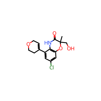 CC1(CO)Oc2cc(Cl)cc(C3=CCOCC3)c2NC1=O